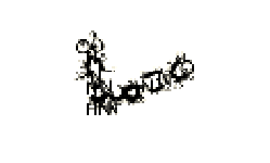 COC(=O)N1C[C@@H](C)N(c2ncc3[nH]nc(-c4ccc(N5CCN(C6CCOCC6)CC5)cc4)c3n2)[C@@H](C)C1